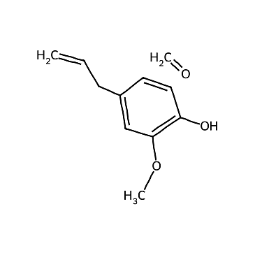 C=CCc1ccc(O)c(OC)c1.C=O